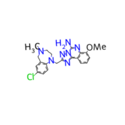 COc1cccc2c1nc(N)n1nc(CN3CCN(C)Cc4cc(Cl)ccc43)nc21